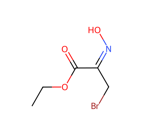 CCOC(=O)/C(CBr)=N\O